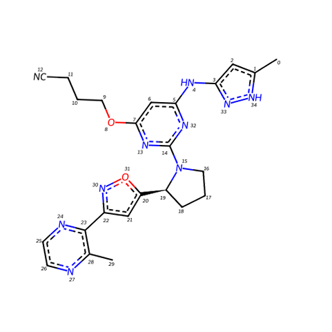 Cc1cc(Nc2cc(OCCCC#N)nc(N3CCC[C@H]3c3cc(-c4nccnc4C)no3)n2)n[nH]1